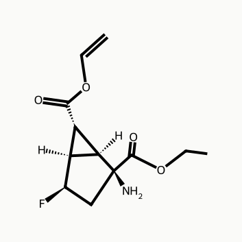 C=COC(=O)[C@H]1[C@H]2[C@@H]1[C@](N)(C(=O)OCC)C[C@H]2F